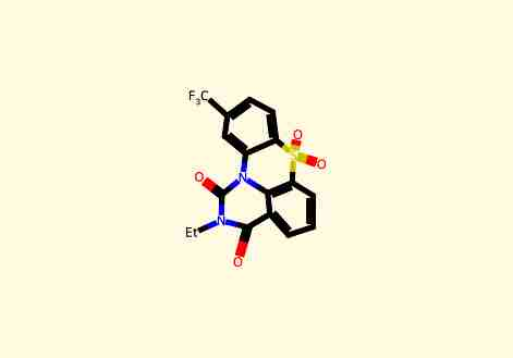 CCn1c(=O)c2cccc3c2n(c1=O)-c1cc(C(F)(F)F)ccc1S3(=O)=O